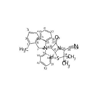 Cc1ccccc1C[N+](c1ccccc1)(c1ccccc1)C1C(=O)N2C(C#N)C(C)(C)S[C@@H]12